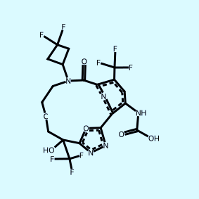 O=C(O)Nc1cc(C(F)(F)F)c2nc1-c1nnc(o1)C(O)(C(F)(F)F)CCCCN(C1CC(F)(F)C1)C2=O